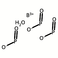 O.O=P[O-].O=P[O-].O=P[O-].[B+3]